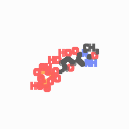 Cn1c(=O)[nH]cc([C@@H]2O[C@H](COP3(=O)OP(=O)(O)OP(=O)(O)O3)[C@H](O)C2O)c1=O